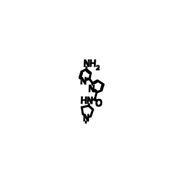 CN1CCC(NC(=O)c2cccc(-c3cc(N)ccn3)n2)CC1